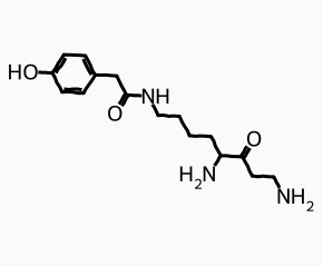 NCCC(=O)C(N)CCCCNC(=O)Cc1ccc(O)cc1